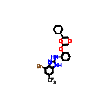 FC(F)(F)c1cc(Br)c2nc(Nc3ccccc3OC3=COC=C(C4=CC=CCC4)O3)[nH]c2c1